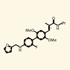 COc1cc(-c2ccc(NCc3ccco3)cc2F)c(OC)cc1/C=C(\C)C(=O)NC(C)C